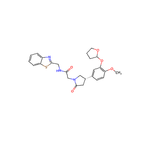 COc1ccc([C@@H]2CC(=O)N(CC(=O)NCc3nc4ccccc4s3)C2)cc1OC1CCCO1